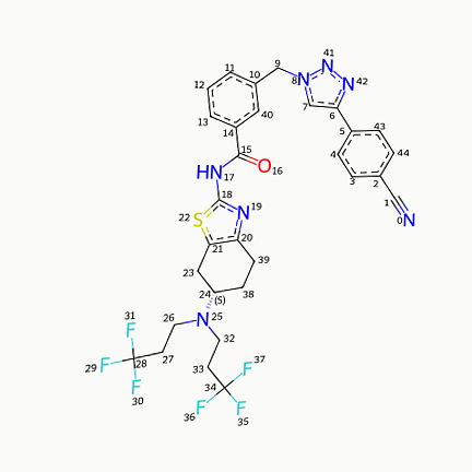 N#Cc1ccc(-c2cn(Cc3cccc(C(=O)Nc4nc5c(s4)C[C@@H](N(CCC(F)(F)F)CCC(F)(F)F)CC5)c3)nn2)cc1